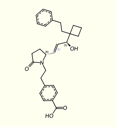 O=C(O)c1ccc(CCN2C(=O)CC[C@@H]2/C=C/[C@H](O)C2(CCc3ccccc3)CCC2)cc1